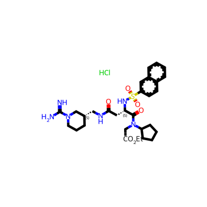 CCOC(=O)CN(C(=O)[C@H](CC(=O)NC[C@@H]1CCCN(C(=N)N)C1)NS(=O)(=O)c1ccc2ccccc2c1)C1CCCC1.Cl